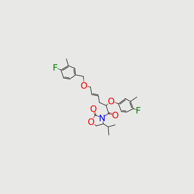 Cc1cc(COCC=CCC(Oc2ccc(F)c(C)c2)C(=O)N2C(=O)OCC2C(C)C)ccc1F